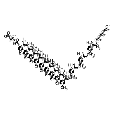 CCC(N)[n+]1ccn(C)c1.CCC(N)[n+]1ccn(C)c1.CCC(N)[n+]1ccn(C)c1.CCC(N)[n+]1ccn(C)c1.CCC(N)[n+]1ccn(C)c1.CCC(N)[n+]1ccn(C)c1.CCC(N)[n+]1ccn(C)c1.CCC(N)[n+]1ccn(C)c1.CCC(N)[n+]1ccn(C)c1.CCC(N)[n+]1ccn(C)c1.CCC(N)[n+]1ccn(C)c1.CCC(N)[n+]1ccn(C)c1.[O-]B([O-])F.[O-]B([O-])F.[O-]B([O-])F.[O-]B([O-])F.[O-]B([O-])F.[O-]B([O-])F